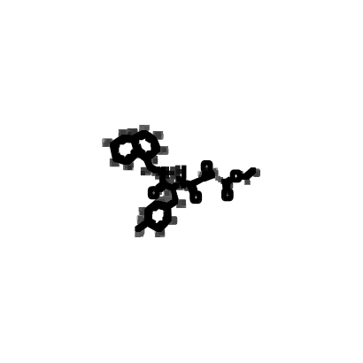 CCOC(=O)[C@H]1O[C@@H]1C(=O)N[C@@H](Cc1ccc(C)cc1)C(=O)NCc1cccc2ccccc12